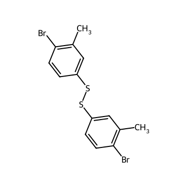 Cc1cc(SSc2ccc(Br)c(C)c2)ccc1Br